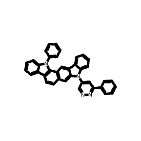 c1ccc(-c2cc(-n3c4ccccc4c4cc5c(ccc6c7ccccc7n(-c7ccccc7)c56)cc43)cnn2)cc1